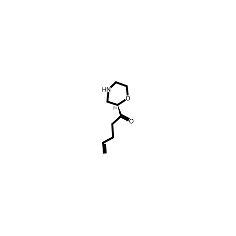 C=CCCC(=O)[C@H]1CNCCO1